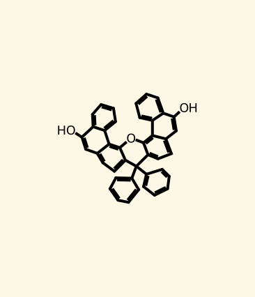 Oc1cc2ccc3c(c2c2ccccc12)Oc1c(ccc2cc(O)c4ccccc4c12)C3(c1ccccc1)c1ccccc1